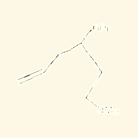 C=CCC(CCC)CCNC